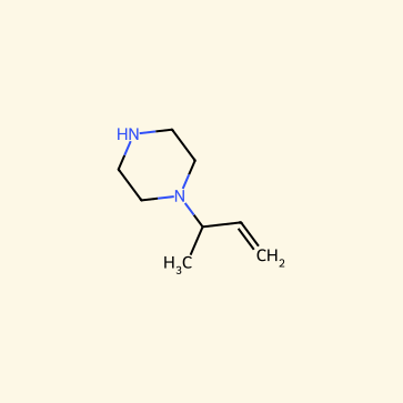 C=CC(C)N1CCNCC1